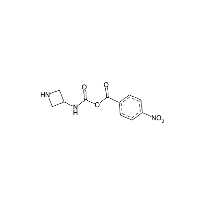 O=C(NC1CNC1)OC(=O)c1ccc([N+](=O)[O-])cc1